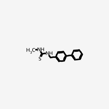 CNC(=S)NCc1ccc(-c2ccccc2)cc1